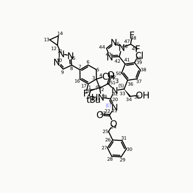 CC(C)(C)C[C@]1(C2(C)CC=C(c3cnn(C4CC4)n3)C=C2F)N/C(=N\C(=O)OCc2ccccc2)N([C@H](CO)c2ccc(Cl)c(-c3ncnn3C(F)F)c2)C1=O